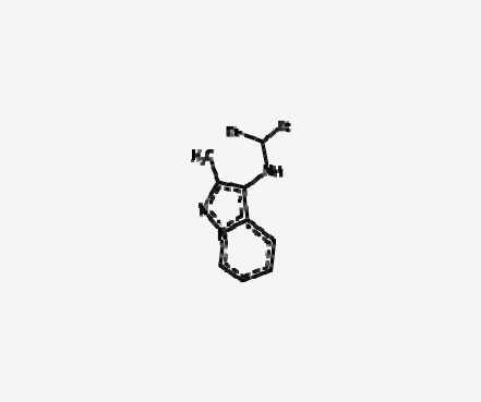 CCC(CC)Nc1c(C)nn2ccccc12